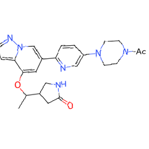 CC(=O)N1CCN(c2ccc(-c3cc(OC(C)C4CNC(=O)C4)c4ccnn4c3)nc2)CC1